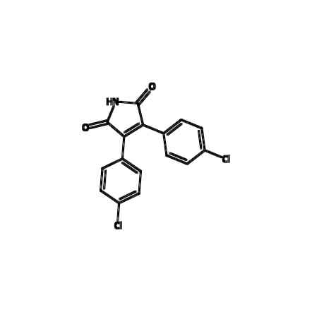 O=C1NC(=O)C(c2ccc(Cl)cc2)=C1c1ccc(Cl)cc1